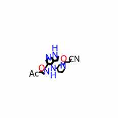 CC(=O)c1cnc(-c2cnc3[nH]ccc3c2NC2CCCN(C(=O)CC#N)C2)o1